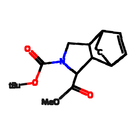 COC(=O)C1C2C3C=CC(CC3)C2CN1C(=O)OC(C)(C)C